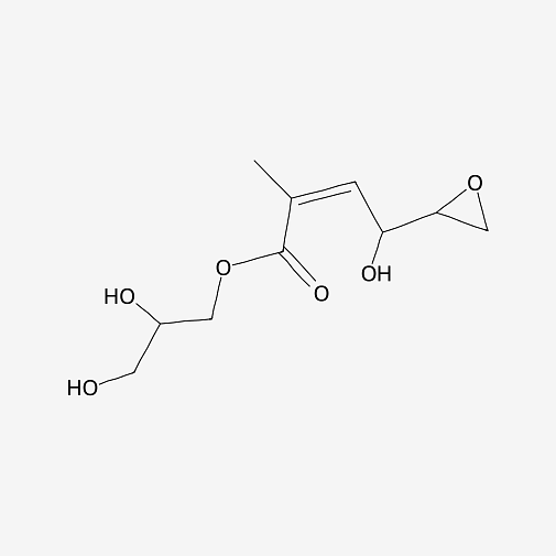 CC(=CC(O)C1CO1)C(=O)OCC(O)CO